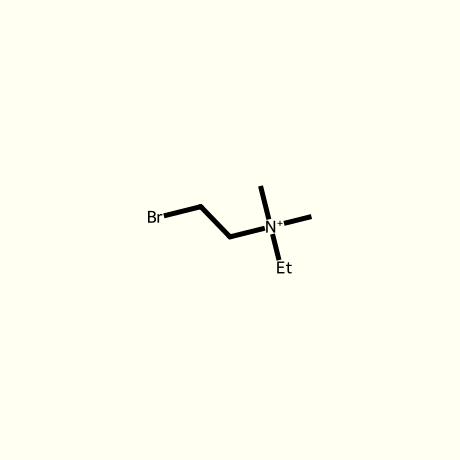 CC[N+](C)(C)CCBr